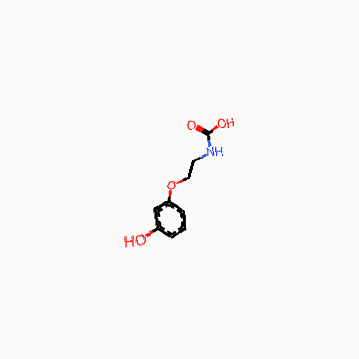 O=C(O)NCCOc1cccc(O)c1